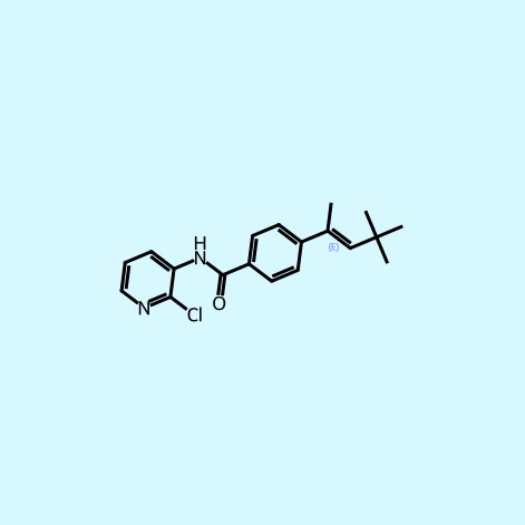 C/C(=C\C(C)(C)C)c1ccc(C(=O)Nc2cccnc2Cl)cc1